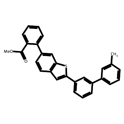 COC(=O)c1ccccc1-c1ccc2cc(-c3cccc(-c4cccc(C)c4)c3)sc2c1